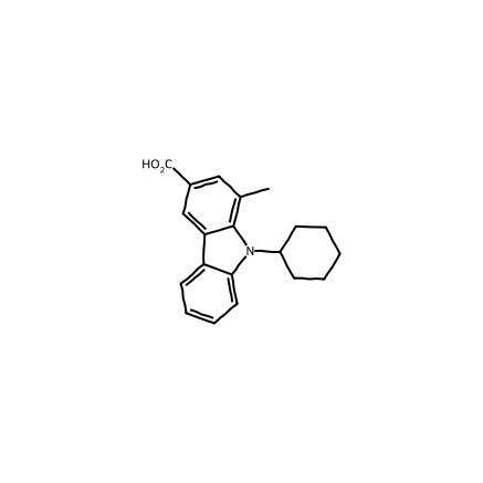 Cc1cc(C(=O)O)cc2c3ccccc3n(C3CCCCC3)c12